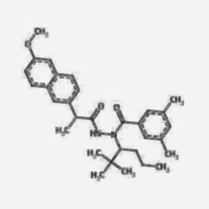 CCCC(N(NC(=O)C(C)c1ccc2cc(OC)ccc2c1)C(=O)c1cc(C)cc(C)c1)C(C)(C)C